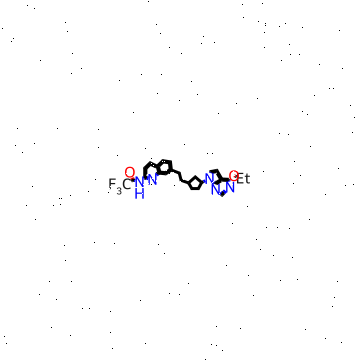 CCOc1ncnc2c1ccn2C1CCC(CCc2ccc3ccc(NC(=O)C(F)(F)F)nc3c2)C1